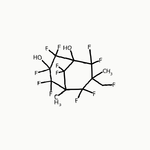 CC1(CF)C(F)(F)C2(C)C(F)(F)C(O)(F)C(F)(F)C(O)(C1(F)F)C2(F)F